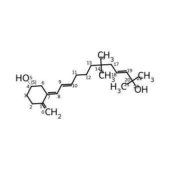 C=C1CC[C@H](O)CC1=CC=CCCCC(C)(C)CC=CC(C)(C)O